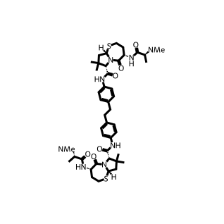 CN[C@@H](C)C(=O)N[C@H]1CCS[C@H]2CC(C)(C)[C@@H](C(=O)Nc3ccc(CCc4ccc(NC(=O)[C@H]5N6C(=O)[C@@H](NC(=O)[C@H](C)NC)CCS[C@H]6CC5(C)C)cc4)cc3)N2C1=O